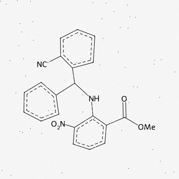 COC(=O)c1cccc([N+](=O)[O-])c1NC(c1ccccc1)c1ccccc1C#N